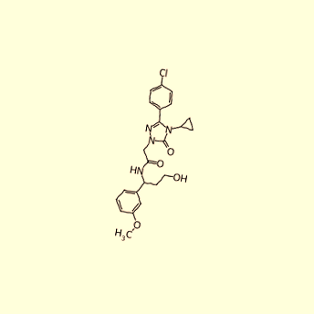 COc1cccc(C(CCO)NC(=O)Cn2nc(-c3ccc(Cl)cc3)n(C3CC3)c2=O)c1